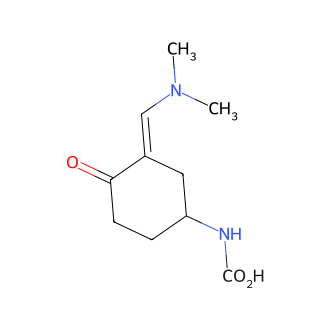 CN(C)/C=C1\CC(NC(=O)O)CCC1=O